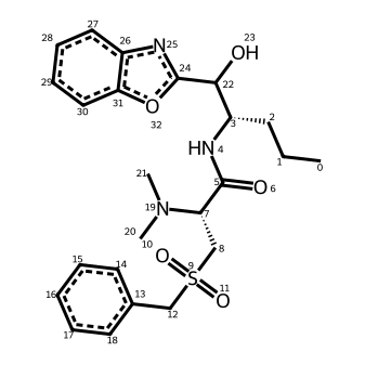 CCC[C@H](NC(=O)[C@H](CS(=O)(=O)Cc1ccccc1)N(C)C)C(O)c1nc2ccccc2o1